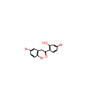 O=C(Cc1cc(Br)ccc1Br)c1ccc(Br)cc1O